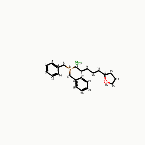 [Br-].c1ccc(C[S+](CCCCCC2CCCO2)Cc2ccccc2)cc1